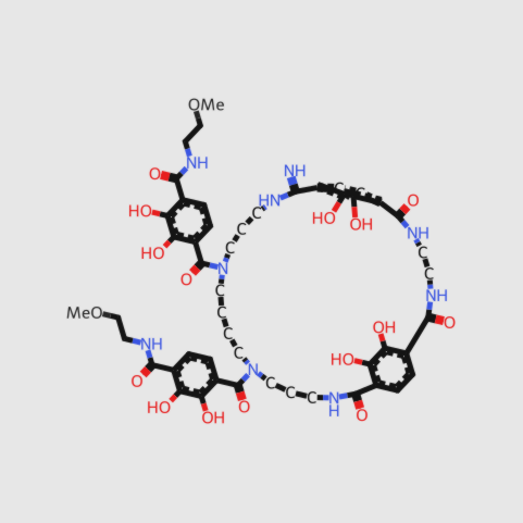 COCCNC(=O)c1ccc(C(=O)N2CCCCN(C(=O)c3ccc(C(=O)NCCOC)c(O)c3O)CCCNC(=O)c3ccc(c(O)c3O)C(=O)NCCNC(=O)c3ccc(c(O)c3O)C(=N)NCCC2)c(O)c1O